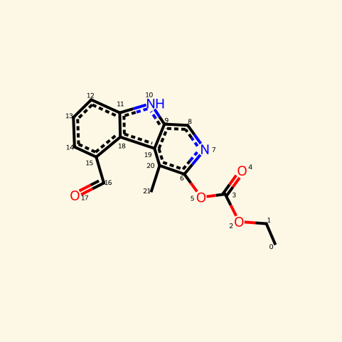 CCOC(=O)Oc1ncc2[nH]c3cccc(C=O)c3c2c1C